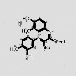 CCCCCC(=Nc1ccc(C)c(C)c1)C(CCCC)=Nc1ccc(C)c(C)c1.[Ni]